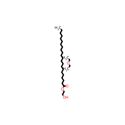 CCCCCCCCCCCCCCCCCCCCCC(=O)OCCO.CCOCC